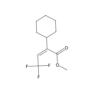 COC(=O)C(=CC(F)(F)F)C1CCCCC1